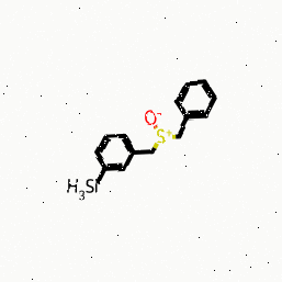 [O-][S+](Cc1ccccc1)Cc1cccc([SiH3])c1